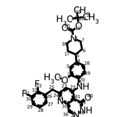 COc1cc(C2CCN(C(=O)OC(C)(C)C)CC2)ccc1Nc1cc(Cc2cccc(F)c2F)nc2cn[nH]c(=O)c12